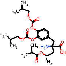 CC(C)COC(=O)Oc1ccc(CC(N)(C[C@H](C)OC(=O)C(C)C)C(=O)O)cc1OC(=O)OCC(C)C